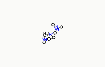 C[N+]#Cc1c(-c2ccc(-c3nc(-c4ccccc4)nc(-c4ccccc4)n3)cc2)cccc1-c1ccc(-n2c(-c3ccccc3)nc3ccccc32)cc1